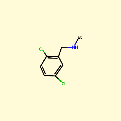 CCNCc1cc(Cl)ccc1Cl